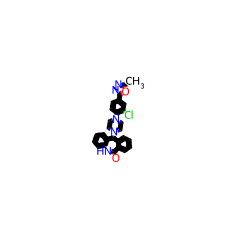 Cc1nnc(-c2ccc(N3CCN(C4c5ccccc5NC(=O)c5ccccc54)CC3)c(Cl)c2)o1